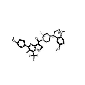 COc1ccc(-c2nc3c(C(=O)N4CCN([C@@H](CO)c5cc(OC)ccc5OC)C[C@H]4C)cnn3c(C(F)(F)F)c2C)cc1